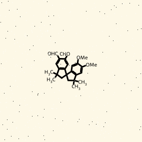 COc1cc2c(cc1OC)C1(CC(C)(C)c3cc(C=O)c(C=O)cc31)CC2(C)C